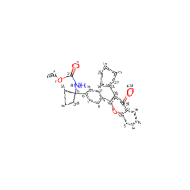 CC(C)(C)OC(=O)NC1(c2ccc(-c3oc4ccccc4c(=O)c3-c3ccccc3)cc2)CCC1